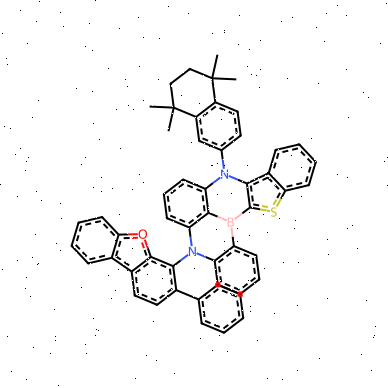 CC1(C)CCC(C)(C)c2cc(N3c4cccc5c4B(c4ccccc4N5c4c(-c5ccccc5)ccc5c4oc4ccccc45)c4sc5ccccc5c43)ccc21